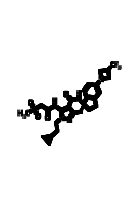 CS(=O)(=O)CC(=O)Nc1c2c(nn1CCC1CC1)C[C@@]1(CCc3cc(N4CC(C(F)(F)F)C4)ccc31)NC2=O